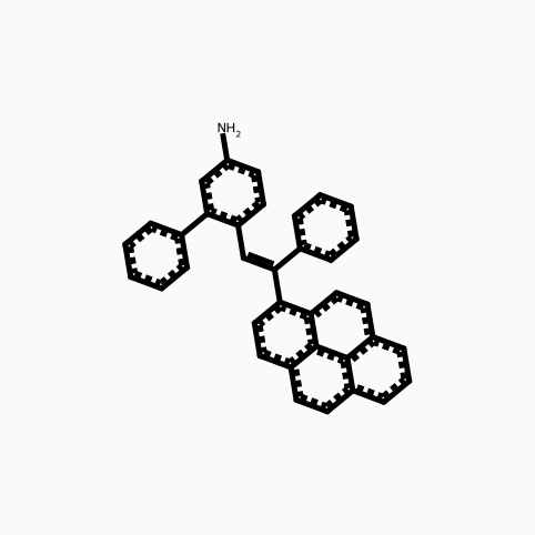 Nc1ccc(C=C(c2ccccc2)c2ccc3ccc4cccc5ccc2c3c45)c(-c2ccccc2)c1